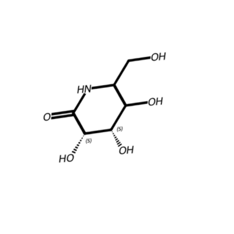 O=C1NC(CO)C(O)[C@H](O)[C@@H]1O